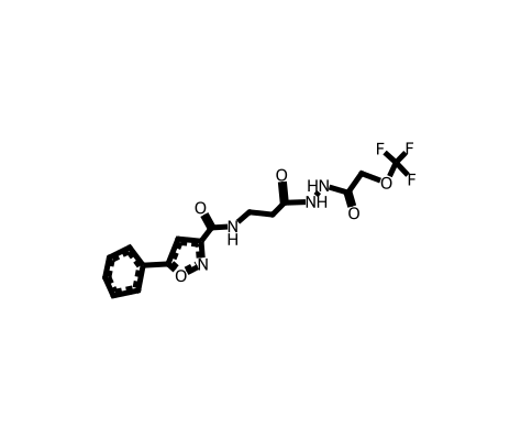 O=C(CCNC(=O)c1cc(-c2ccccc2)on1)NNC(=O)COC(F)(F)F